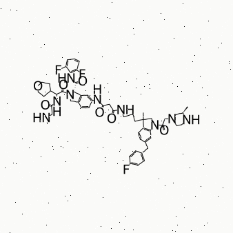 CNCC(=O)NC(C(=O)N1Cc2ccc(NC(=O)CC(=O)NCCCC3(C)CN(C(=O)CN4CCN[C@H](C)C4)c4cc(Cc5ccc(F)cc5)ccc43)cc2[C@H]1C(=O)Nc1c(F)cccc1F)C1CCOCC1